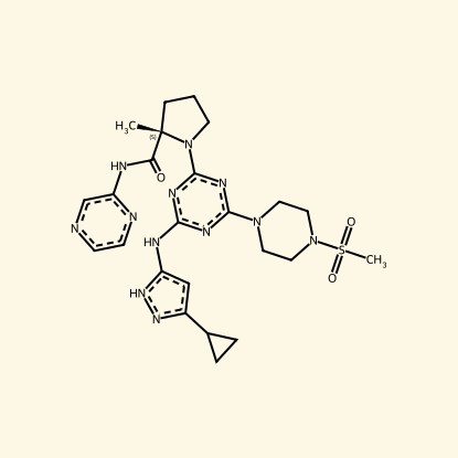 C[C@@]1(C(=O)Nc2cnccn2)CCCN1c1nc(Nc2cc(C3CC3)n[nH]2)nc(N2CCN(S(C)(=O)=O)CC2)n1